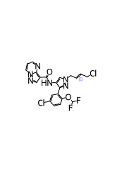 O=C(Nc1cn(C/C=C/CCl)nc1-c1cc(Cl)ccc1OC(F)F)c1cnn2cccnc12